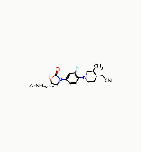 CC(=O)NC[C@H]1CN(c2ccc(N3CCC(CC#N)C(C)C3)c(F)c2)C(=O)O1